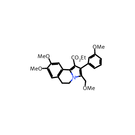 CCOC(=O)c1c(-c2cccc(OC)c2)c(COC)n2c1-c1cc(OC)c(OC)cc1CC2